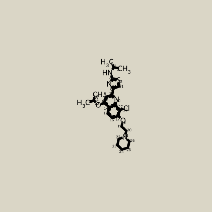 CC(C)Nc1nc(-c2cc(OC(C)C)c3ccc(OCCN4CCCCC4)c(Cl)c3n2)cs1